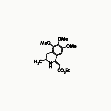 CCOC(=O)C=C1NC(C)Cc2c1cc(OC)c(OC)c2OC